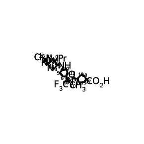 CC(C)c1c(Nc2ccc([C@H](N(C)C(=O)C3CCC(C(=O)O)CC3)C(F)(F)F)cc2)cnc2nc(Cl)nn12